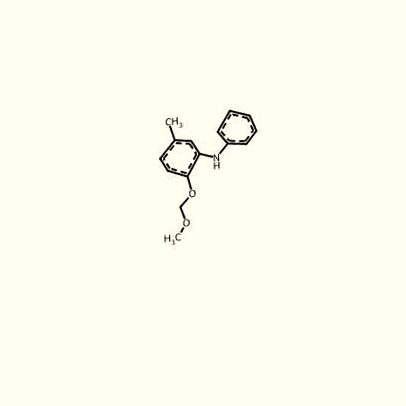 COCOc1ccc(C)cc1Nc1ccccc1